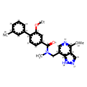 CCOc1cc(C(=O)N(C)Cc2cnc(OC)c3cn[nH]c23)ccc1-c1cccc(C#N)c1